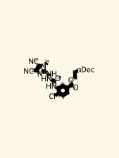 CCCCCCCCCCCCOC(=O)c1ccc(Cl)c(NC(=O)NNc2nc(C#N)c(C#N)n2C)c1